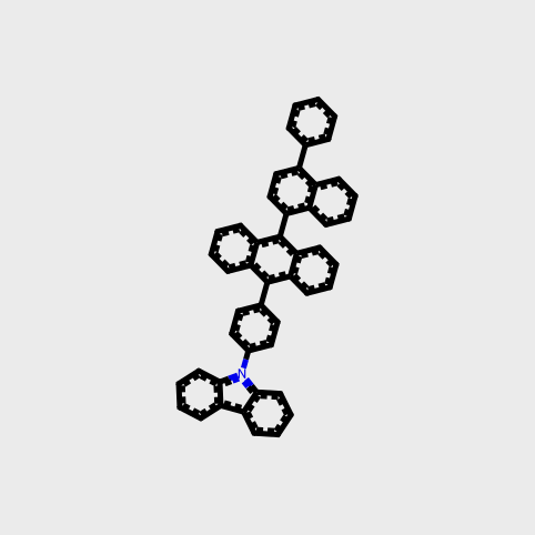 c1ccc(-c2ccc(-c3c4ccccc4c(-c4ccc(-n5c6ccccc6c6ccccc65)cc4)c4ccccc34)c3ccccc23)cc1